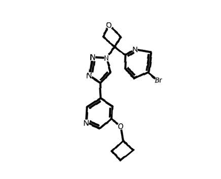 Brc1ccc(C2(n3cc(-c4cncc(OC5CCC5)c4)nn3)COC2)nc1